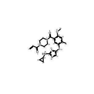 C=CC(=O)N1CCN(C(=O)c2cc(Sc3cnc(NC4CC4)s3)c(C)cc2OC)CC1